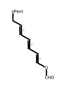 CCCCCC/C=C/C=C/C=C/OC=O